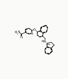 NC(=O)c1ccc(Oc2ccc(CN[C@@H]3CCc4ccccc43)c3ccccc23)nc1